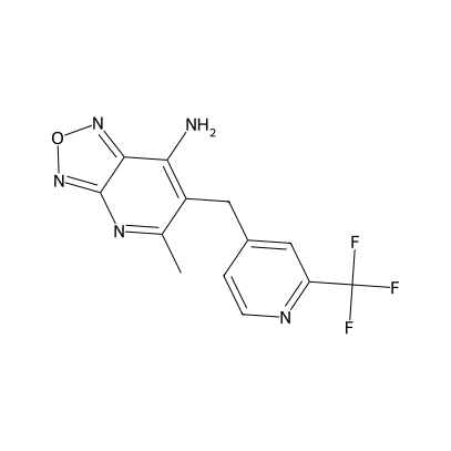 Cc1nc2nonc2c(N)c1Cc1ccnc(C(F)(F)F)c1